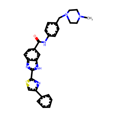 CN1CCN(Cc2ccc(NC(=O)c3ccc4nc(-c5nc(-c6ccccc6)cs5)[nH]c4c3)cc2)CC1